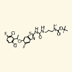 CC(Oc1cc2sc(NC(=O)NCCCNC(=O)OC(C)(C)C)nc2cc1F)c1c(Cl)ccc(F)c1Cl